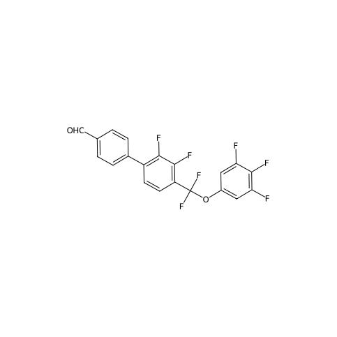 O=Cc1ccc(-c2ccc(C(F)(F)Oc3cc(F)c(F)c(F)c3)c(F)c2F)cc1